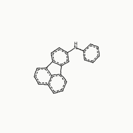 c1ccc(Nc2ccc3c(c2)-c2cccc4cccc-3c24)cc1